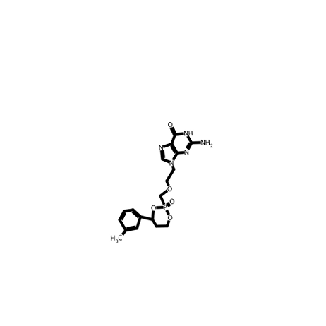 Cc1cccc(C2CCOP(=O)(COCCn3cnc4c(=O)[nH]c(N)nc43)O2)c1